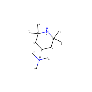 CC1(C)CCCC(C)(C)N1.CN(C)C